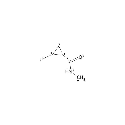 CNC(=O)C1CC1F